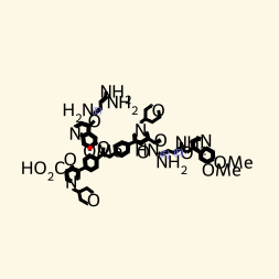 COc1cc2nccc(O/C(N)=C/C=C(\N)NC(=O)c3cn(CC4CCOCC4)cc(-c4ccc(CC(Oc5cc6c(O/C(N)=C/C=C(N)N)ccnc6cc5OC)c5ccc(-c6cn(CC7CCOCC7)cc(C(=O)O)c6=O)cc5)cc4)c3=O)c2cc1OC